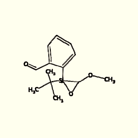 COC1O[Si]1(c1ccccc1C=O)C(C)(C)C